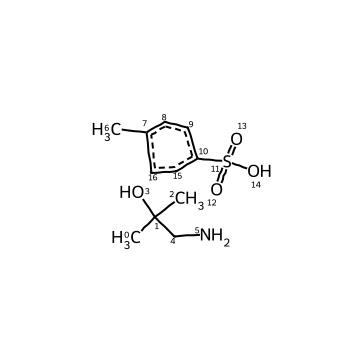 CC(C)(O)CN.Cc1ccc(S(=O)(=O)O)cc1